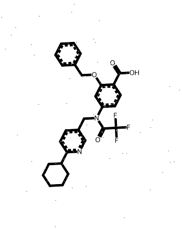 O=C(O)c1ccc(N(Cc2ccc(C3CCCCC3)nc2)C(=O)C(F)(F)F)cc1OCc1ccccc1